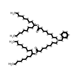 CCCCCCCCC(CCCCCCCC)OC(=O)CCCCCCCN(CCCCCCCC(=O)OC(CCCCCCCC)CCCCCCCC)Cc1ccccc1